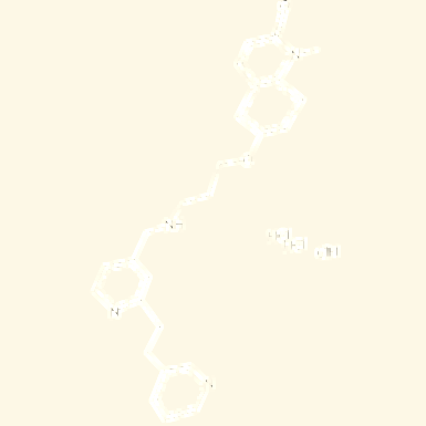 Cl.Cl.Cl.Cn1c(=O)ccc2cc(OCCCNCc3ccnc(CCc4cccnc4)c3)ccc21